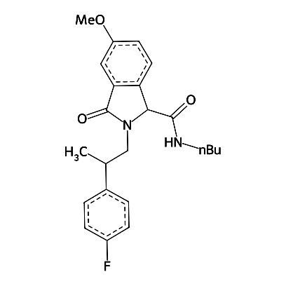 CCCCNC(=O)C1c2ccc(OC)cc2C(=O)N1CC(C)c1ccc(F)cc1